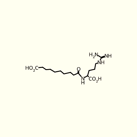 N=C(N)NCCCC(NC(=O)CCCCCCCCC(=O)O)C(=O)O